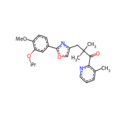 COc1ccc(-c2nc(CC(C)(C)C(=O)c3ncccc3C)co2)cc1OC(C)C